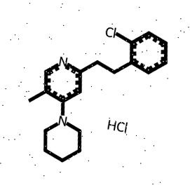 Cc1cnc(CCc2ccccc2Cl)cc1N1CCCCC1.Cl